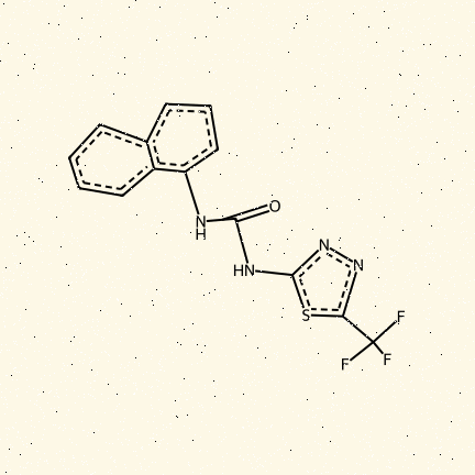 O=C(Nc1nnc(C(F)(F)F)s1)Nc1cccc2ccccc12